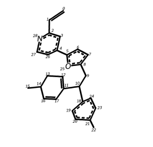 C=Cc1cc(-c2ccc(CC(C3=CCC(C)C=C3)c3ccc(C)cc3)o2)ccn1